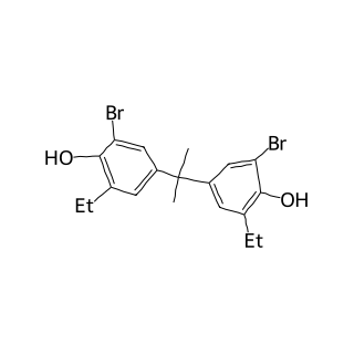 CCc1cc(C(C)(C)c2cc(Br)c(O)c(CC)c2)cc(Br)c1O